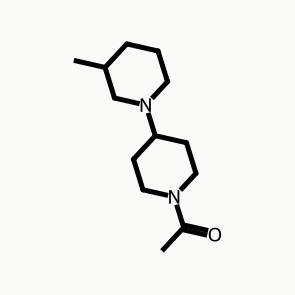 CC(=O)N1CCC(N2CCCC(C)C2)CC1